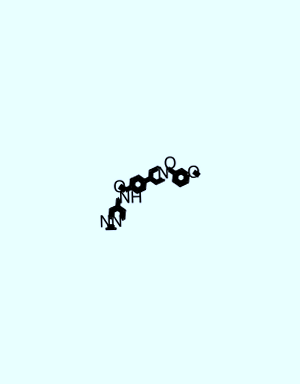 COc1cccc(C(=O)N2CCC(c3ccc(C(=O)NCc4ccn5ccnc5c4)cc3)CC2)c1